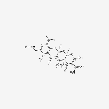 CC(C)NCc1cc(N(C)C)c2c(c1O)C(=O)C1=C(O)[C@]3(O)C(=O)C(C(N)=O)=C(O)C[C@@H]3C[C@@H]1C2